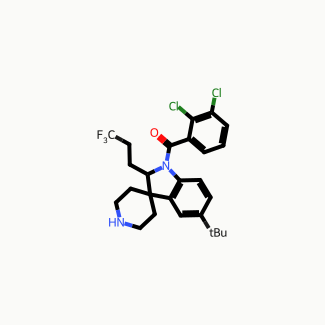 CC(C)(C)c1ccc2c(c1)C1(CCNCC1)C(CCC(F)(F)F)N2C(=O)c1cccc(Cl)c1Cl